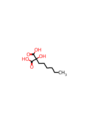 CCCCCCC(O)(C(=O)O)C(=O)O